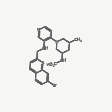 CC1CC(NC(=O)O)CN(c2ccncc2NCc2ccc3ccc(Br)cc3n2)C1